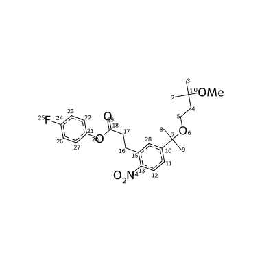 COC(C)(C)CCOC(C)(C)c1ccc([N+](=O)[O-])c(CCC(=O)Oc2ccc(F)cc2)c1